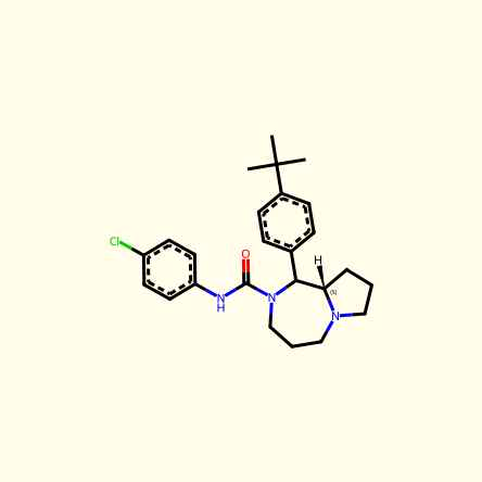 CC(C)(C)c1ccc(C2[C@@H]3CCCN3CCCN2C(=O)Nc2ccc(Cl)cc2)cc1